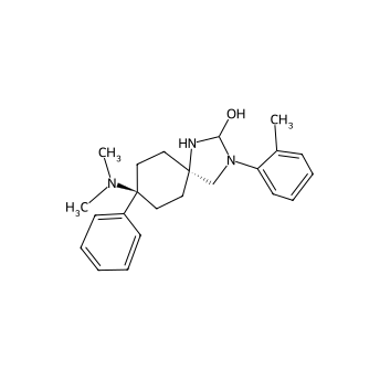 Cc1ccccc1N1C[C@]2(CC[C@](c3ccccc3)(N(C)C)CC2)NC1O